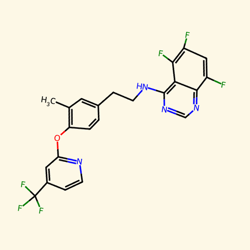 Cc1cc(CCNc2ncnc3c(F)cc(F)c(F)c23)ccc1Oc1cc(C(F)(F)F)ccn1